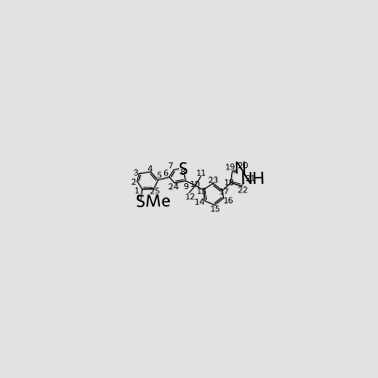 CSc1cccc(-c2csc(C(C)(C)c3cccc(-c4cn[nH]c4)c3)c2)c1